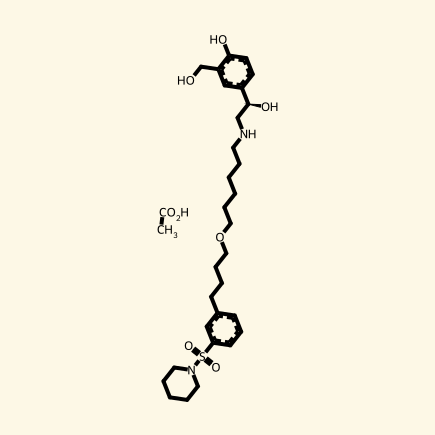 CC(=O)O.O=S(=O)(c1cccc(CCCCOCCCCCCNC[C@H](O)c2ccc(O)c(CO)c2)c1)N1CCCCC1